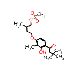 Cc1c(OCCC(C)COS(C)(=O)=O)ccc(C(=O)CC(C)(C)C)c1O